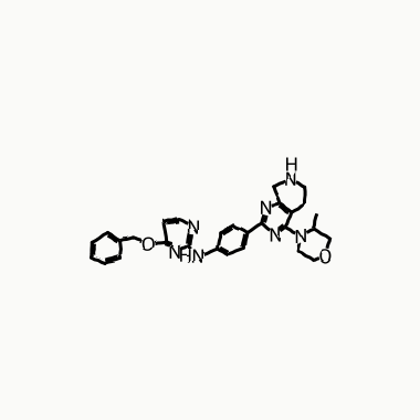 CC1COCCN1c1nc(-c2ccc(Nc3nccc(OCc4ccccc4)n3)cc2)nc2c1CCNC2